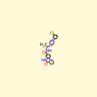 CC(CNC(=O)c1ccc2c(c1)NC(=O)C1CCCCN21)CN1CCN(c2cccc(Cl)c2)CC1